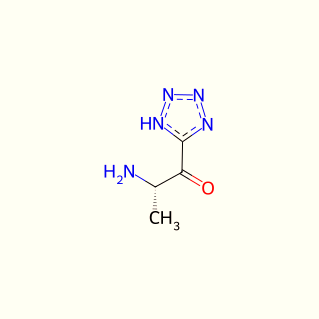 C[C@H](N)C(=O)c1nnn[nH]1